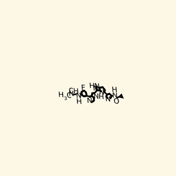 CN(C)CCNc1cc(F)cc(-c2nccc3[nH]c(-c4n[nH]c5ccc(-c6cncc(NC(=O)C7CC7)c6)nc45)cc23)c1